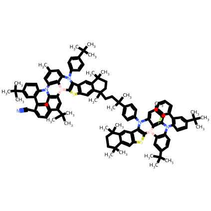 Cc1cc2c3c(c1)N(c1ccc(C(C)(C)CCC4(C)CCC(C)(C)c5cc6c7c(sc6cc54)B4c5cc(C(C)(C)C)ccc5N(c5ccc(C(C)(C)C)cc5-c5ccccc5C#N)c5cc(C)cc(c54)N7c4ccc(C(C)(C)C)cc4)cc1)c1c(sc4cc5c(cc14)C(C)(C)CCC5(C)C)B3c1cc(C(C)(C)C)ccc1N2c1ccc(C(C)(C)C)cc1-c1ccccc1F